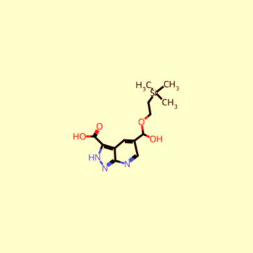 C[Si](C)(C)CCOC(O)c1cnc2n[nH]c(C(=O)O)c2c1